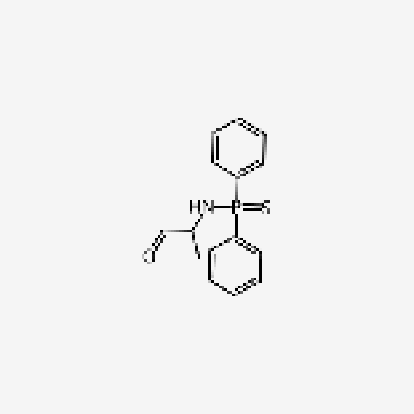 CC([C]=O)NP(=S)(c1ccccc1)c1ccccc1